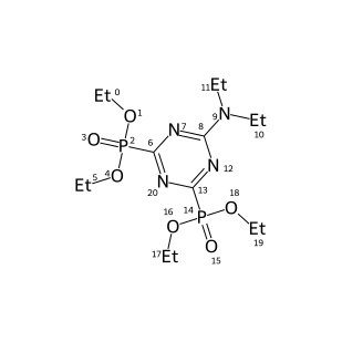 CCOP(=O)(OCC)c1nc(N(CC)CC)nc(P(=O)(OCC)OCC)n1